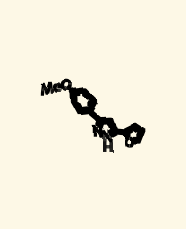 COc1ccc(-c2cc(-c3ccco3)[nH]n2)cc1